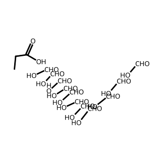 CCC(=O)O.O=CO.O=CO.O=CO.O=CO.O=CO.O=CO.O=CO.O=CO.O=CO.O=CO.O=CO